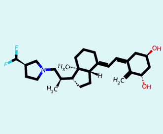 C=C1/C(=C\C=C2/CCC[C@]3(C)[C@@H]([C@@H](C)CN4CC[C@@H](C(F)F)C4)CC[C@@H]23)C[C@@H](O)C[C@@H]1O